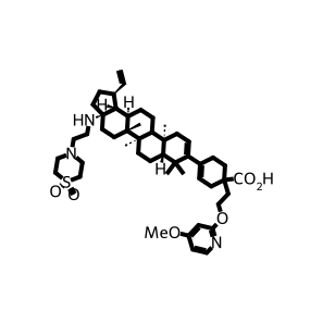 C=C[C@@H]1CC[C@]2(NCCN3CCS(=O)(=O)CC3)CC[C@]3(C)[C@H](CCC4[C@@]5(C)CC=C(C6=CCC(CCOc7cc(OC)ccn7)(C(=O)O)CC6)C(C)(C)[C@@H]5CC[C@]43C)[C@@H]12